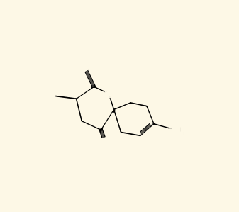 C=C1CC(I)C(=O)OC12CC=C(C)CC2